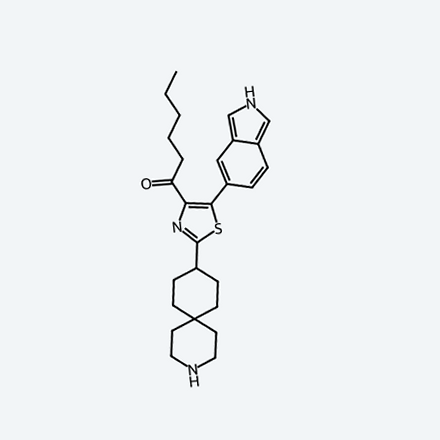 CCCCCC(=O)c1nc(C2CCC3(CCNCC3)CC2)sc1-c1ccc2c[nH]cc2c1